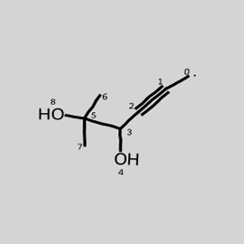 [CH2]C#CC(O)C(C)(C)O